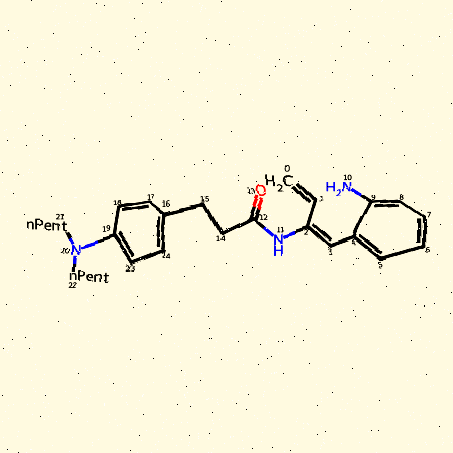 C=C/C(=C\c1ccccc1N)NC(=O)CCc1ccc(N(CCCCC)CCCCC)cc1